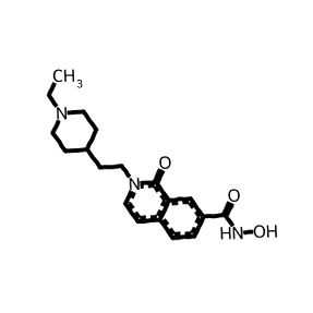 CCN1CCC(CCn2ccc3ccc(C(=O)NO)cc3c2=O)CC1